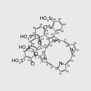 O=S(=O)(O)c1cccc(C2=CC3=CC4=NC(=CC5=NC(=CC6=NC(=C(c7cccc(S(=O)(=O)O)c7Cl)C2=N3)C(c2cccc(S(=O)(=O)O)c2Cl)=C6c2cccc(S(=O)(=O)O)c2Cl)C=C5)C=C4)c1Cl